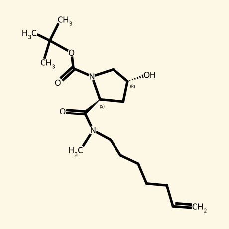 C=CCCCCCN(C)C(=O)[C@@H]1C[C@@H](O)CN1C(=O)OC(C)(C)C